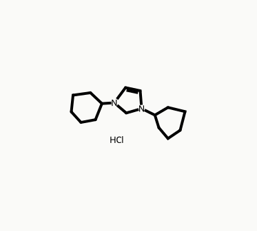 C1=CN(C2CCCCC2)CN1C1CCCCC1.Cl